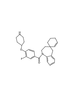 O=C(c1ccc(OC2CCNCC2)c(F)c1)N1CCC2(C=CCCC2)Cc2ccccc21